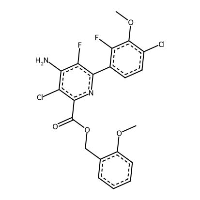 COc1ccccc1COC(=O)c1nc(-c2ccc(Cl)c(OC)c2F)c(F)c(N)c1Cl